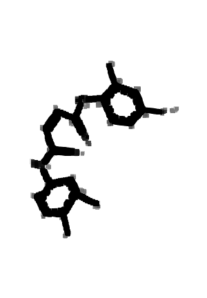 Cc1ccc(NC(=O)/C=C\C(=O)Nc2ccc(F)cc2C)cc1C